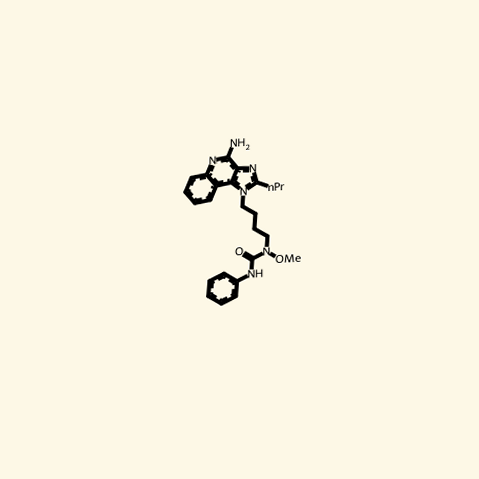 CCCc1nc2c(N)nc3ccccc3c2n1CCCCN(OC)C(=O)Nc1ccccc1